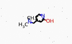 CN(C)Cc1ccnc(O)c1